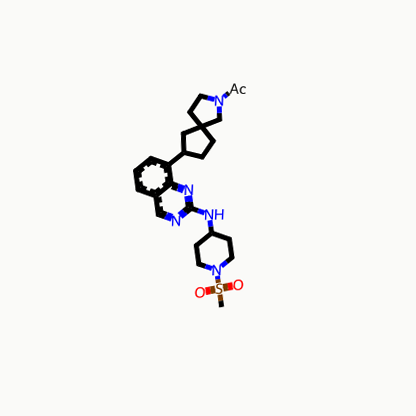 CC(=O)N1CCC2(CCC(c3cccc4cnc(NC5CCN(S(C)(=O)=O)CC5)nc34)C2)C1